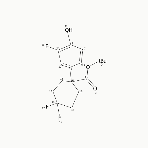 CC(C)(C)OC(=O)C1(c2ccc(O)c(F)c2)CCC(F)(F)CC1